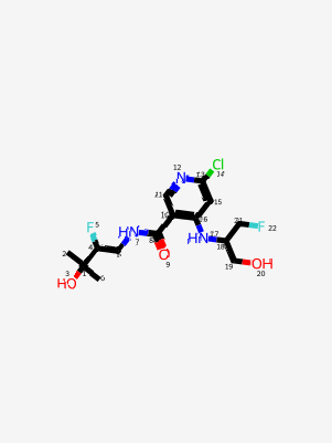 CC(C)(O)C(F)CNC(=O)c1cnc(Cl)cc1NC(CO)CF